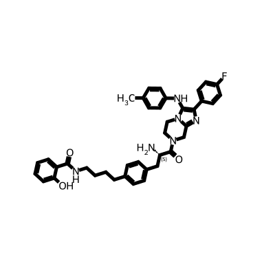 Cc1ccc(Nc2c(-c3ccc(F)cc3)nc3n2CCN(C(=O)[C@@H](N)Cc2ccc(CCCCNC(=O)c4ccccc4O)cc2)C3)cc1